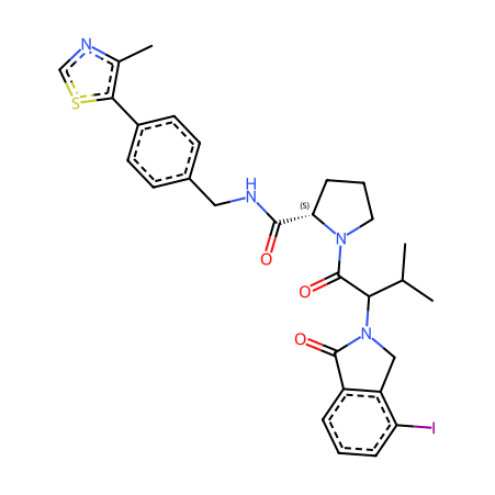 Cc1ncsc1-c1ccc(CNC(=O)[C@@H]2CCCN2C(=O)C(C(C)C)N2Cc3c(I)cccc3C2=O)cc1